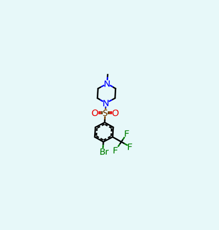 CN1CCN(S(=O)(=O)c2ccc(Br)c(C(F)(F)F)c2)CC1